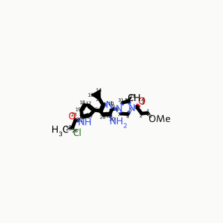 COCCC(=O)N1CCN(c2nc(C3CC3)c(-c3cccc(NC(=O)[C@@H](C)Cl)c3)cc2N)C[C@H]1C